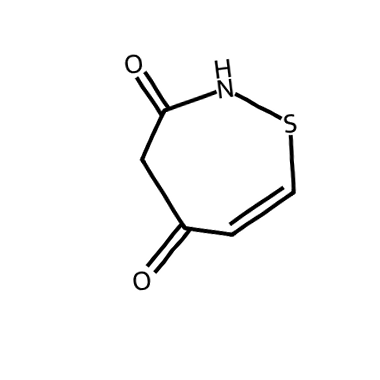 O=C1C=CSNC(=O)C1